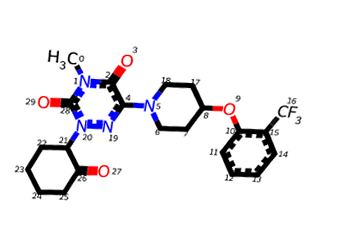 Cn1c(=O)c(N2CCC(Oc3ccccc3C(F)(F)F)CC2)nn(C2CCCCC2=O)c1=O